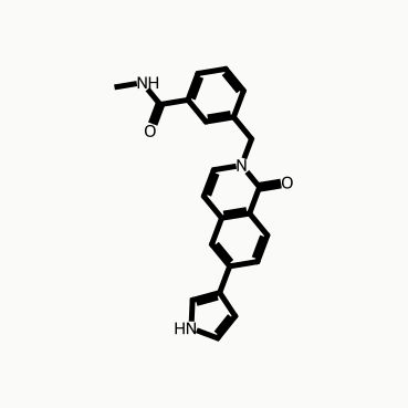 CNC(=O)c1cccc(Cn2ccc3cc(-c4cc[nH]c4)ccc3c2=O)c1